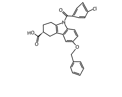 O=C(O)[C@H]1CCc2c(c3cc(OCc4ccccc4)ccc3n2C(=O)c2ccc(Cl)cc2)C1